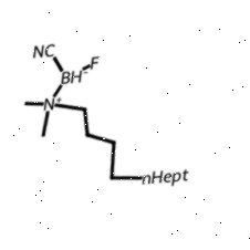 CCCCCCCCCCC[N+](C)(C)[BH-](F)C#N